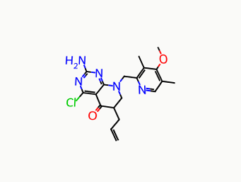 C=CCC1CN(Cc2ncc(C)c(OC)c2C)c2nc(N)nc(Cl)c2C1=O